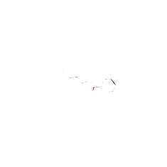 CCCCOC(=O)C1CC=CCO1